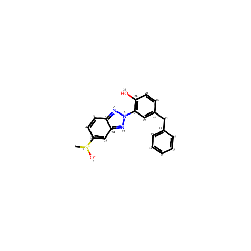 C[S+]([O-])c1ccc2nn(-c3cc(Cc4ccccc4)ccc3O)nc2c1